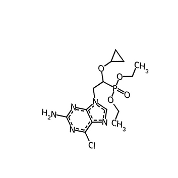 CCOP(=O)(OCC)C(Cn1cnc2c(Cl)nc(N)nc21)OC1CC1